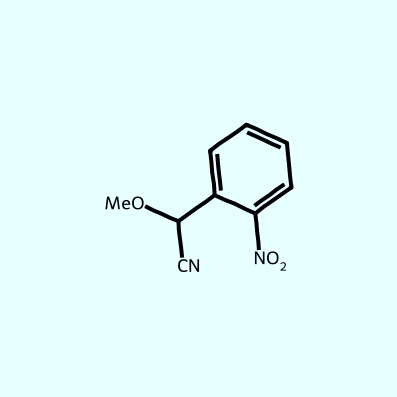 COC(C#N)c1ccccc1[N+](=O)[O-]